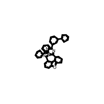 c1ccc(-c2cccc(-c3nc(-c4ccccc4)nc(-c4cccc5oc6cccc(-c7nc8ccccc8o7)c6c45)n3)c2)cc1